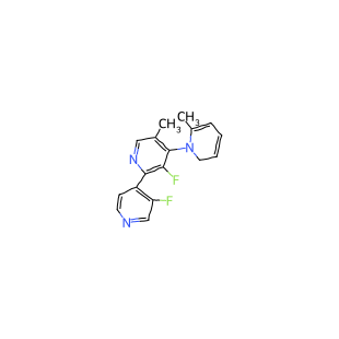 CC1=CC=CCN1c1c(C)cnc(-c2ccncc2F)c1F